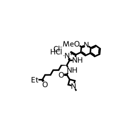 CCC(=O)CCCCC[C@H](NC(=O)C1CN(C)C1)C1=[N+]C=C(c2cc3ccccc3nc2OC)N1.Cl.[Cl-]